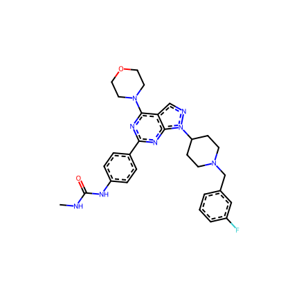 CNC(=O)Nc1ccc(-c2nc(N3CCOCC3)c3cnn(C4CCN(Cc5cccc(F)c5)CC4)c3n2)cc1